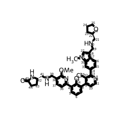 COc1nc(-c2cccc(-c3ccnc(-c4ccc5c(CNC[C@H]6CCCO6)cn(C)c5c4)c3Cl)c2Cl)ccc1CNC[C@@H]1CCC(=O)N1